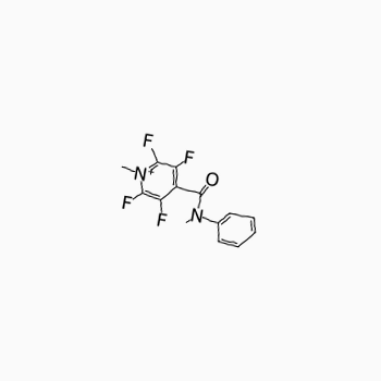 CN(C(=O)c1c(F)c(F)[n+](C)c(F)c1F)c1ccccc1